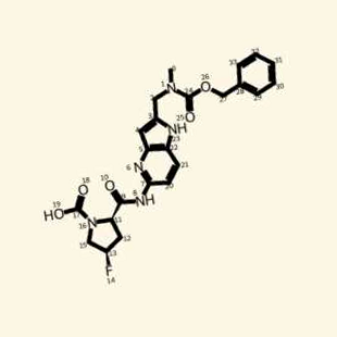 CN(Cc1cc2nc(NC(=O)[C@H]3C[C@@H](F)CN3C(=O)O)ccc2[nH]1)C(=O)OCc1ccccc1